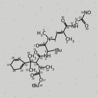 C/C(=C\CN(C)C(=O)C(NC(=O)[C@@H](N(C)C(=O)OC(C)(C)C)C(C)(C)C1=CCCC=C1)C(C)(C)C)C(=O)NCC(=O)N=O